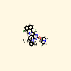 C#Cc1c(F)ccc2cccc(-c3nc4c5c(nc(OC[C@@]67CCCN6C[C@H](F)C7)nc5c3F)N3C[C@H]5CC[C@H](C5)[C@@H]3[C@@H](C)C4)c12